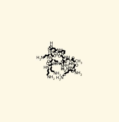 CC(NC(=O)[C@H](CCN)NC(=O)C(N)CCCCN)C(=O)NCC(=O)N[C@H](CCCN)C(=O)N1CCCC1C(=O)NC(Cc1cnc[nH]1)C(=O)N[C@@H](CCCCN)C(=O)N[C@H](CCCNC(=N)N)C(=O)N[C@@H](CCCCN)C(=O)NCCCCN